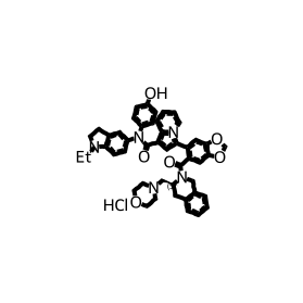 CCN1CCc2cc(N(C(=O)c3cc(-c4cc5c(cc4C(=O)N4Cc6ccccc6C[C@H]4CN4CCOCC4)OCO5)n4ccccc34)c3ccc(O)cc3)ccc21.Cl